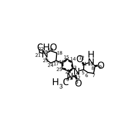 Cn1c(=O)n(C2CCC(=O)NC2=O)c2ccc(C3CCN(CC=O)CC3)cc21